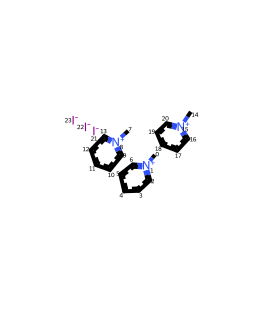 C[n+]1ccccc1.C[n+]1ccccc1.C[n+]1ccccc1.[I-].[I-].[I-]